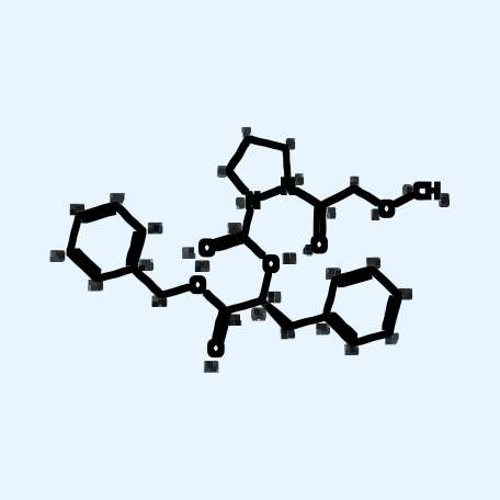 COCC(=O)N1CCCN1C(=O)O[C@@H](Cc1ccccc1)C(=O)OCc1ccccc1